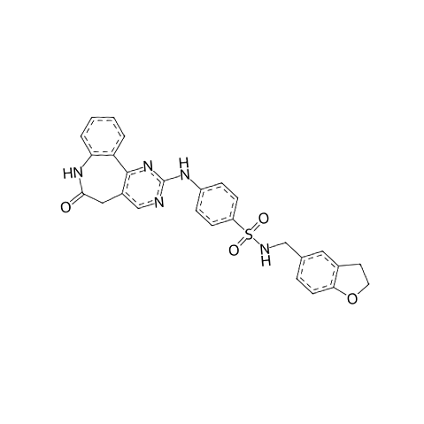 O=C1Cc2cnc(Nc3ccc(S(=O)(=O)NCc4ccc5c(c4)CCO5)cc3)nc2-c2ccccc2N1